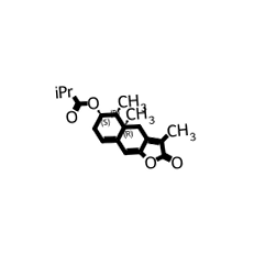 CC1=C2C[C@@]3(C)C(=CC[C@H](OC(=O)C(C)C)[C@@H]3C)C=C2OC1=O